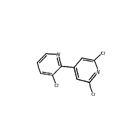 Clc1cc(-c2ncccc2Cl)cc(Cl)n1